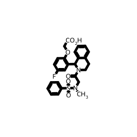 CN(CC(=O)N1CCc2ccccc2C1c1cc(F)ccc1OCC(=O)O)S(=O)(=O)c1ccccc1